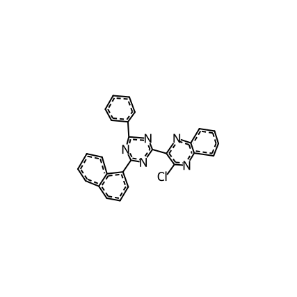 Clc1nc2ccccc2nc1-c1nc(-c2ccccc2)nc(-c2cccc3ccccc23)n1